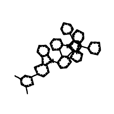 Cc1cc(C)cc(-c2ccc3c(c2)c2ccccc2n3-c2cccc(-c3nc(-c4ccccc4)cc(-c4ccccc4)n3)c2-c2ccccc2-n2c3ccccc3c3ccccc32)c1